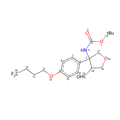 CC(C)(C)OC(=O)NC1(c2ccc(OCCCC(F)(F)F)cc2)COCC1C=O